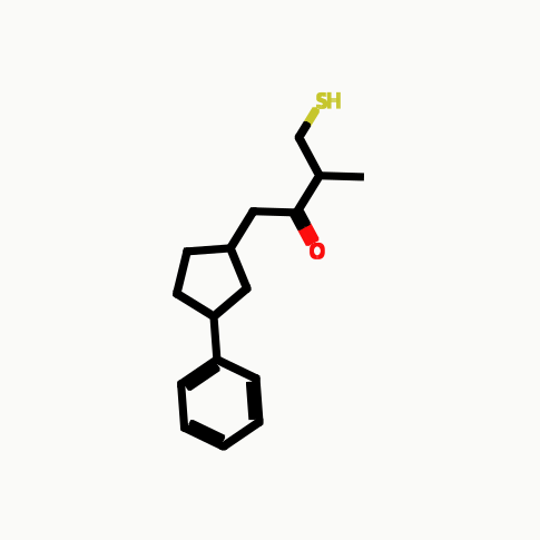 CC(CS)C(=O)CC1CCC(c2ccccc2)C1